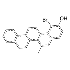 Cc1cc2ccc(O)c(Br)c2c2ccc3c4ccccc4ccc3c12